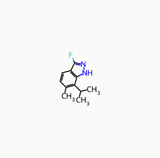 Cc1ccc2c(F)n[nH]c2c1C(C)C